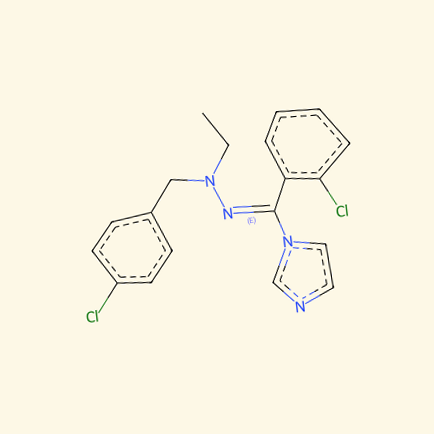 CCN(Cc1ccc(Cl)cc1)/N=C(\c1ccccc1Cl)n1ccnc1